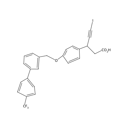 O=C(O)CC(C#CI)c1ccc(OCc2cccc(-c3ccc(C(F)(F)F)cc3)c2)cc1